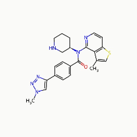 Cc1csc2ccnc(N(C(=O)c3ccc(-c4cn(C)nn4)cc3)[C@@H]3CCCNC3)c12